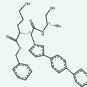 CC(C)(C)[C@@H](CO)NC(=O)[C@@H](C(CCCO)C(=O)OCc1ccccc1)n1ccc(-c2ccc(-c3ccccc3)cc2)c1